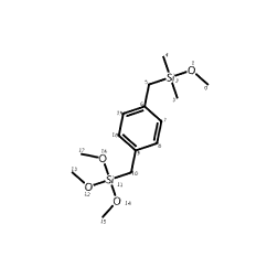 CO[Si](C)(C)Cc1ccc(C[Si](OC)(OC)OC)cc1